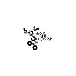 C=CCNc1nc(NCC=C)nc(N2CCC(NC(c3ccccc3)c3ccccc3)CC2)n1.O=C(O)C=CC(=O)O.O=C(O)C=CC(=O)O